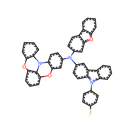 Fc1ccc(-n2c3ccccc3c3cc(N(c4ccc5c(c4)Oc4cccc6c4N5c4ccccc4O6)c4ccc5c(c4)oc4ccccc45)ccc32)cc1